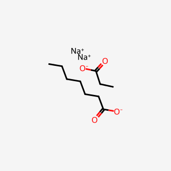 CCC(=O)[O-].CCCCCCC(=O)[O-].[Na+].[Na+]